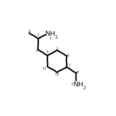 C[C](N)CC1CCC(CN)CC1